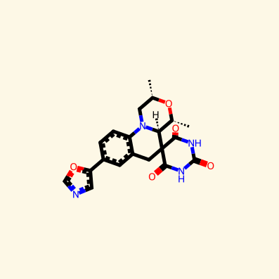 C[C@H]1CN2c3ccc(-c4cnco4)cc3CC3(C(=O)NC(=O)NC3=O)[C@@H]2[C@@H](C)O1